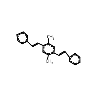 Cc1cc(/C=C/c2ccccc2)c(C)cc1/C=C/c1ccccc1